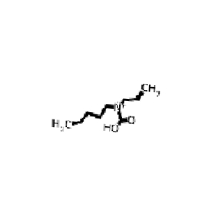 C=CC[N+](CCCCC)C(=O)O